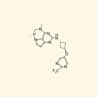 C[C@@H]1CN(C)c2nc(N[C@H]3C[C@H](Oc4cnc(C(F)(F)F)nc4)C3)nc3ccn1c23